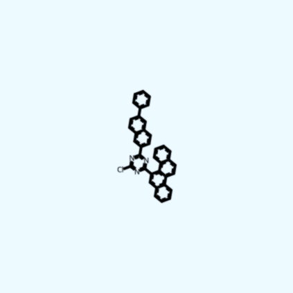 Clc1nc(-c2ccc3cc(-c4ccccc4)ccc3c2)nc(-c2cc3ccccc3c3ccc4ccccc4c23)n1